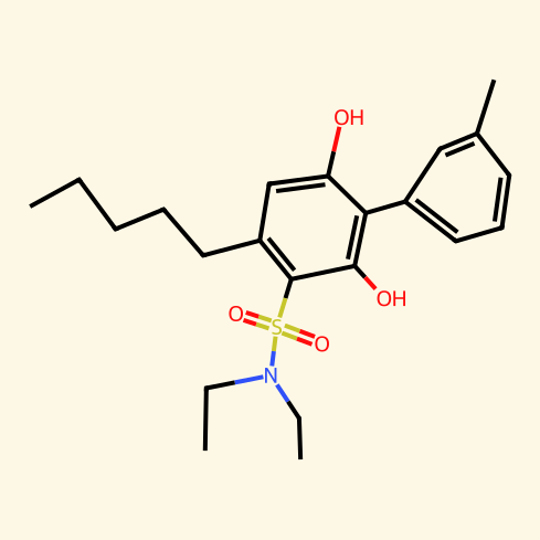 CCCCCc1cc(O)c(-c2cccc(C)c2)c(O)c1S(=O)(=O)N(CC)CC